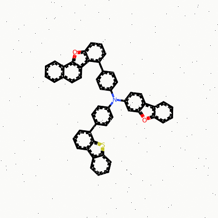 c1ccc2c(c1)ccc1c2oc2cccc(-c3ccc(N(c4ccc(-c5cccc6c5sc5ccccc56)cc4)c4ccc5c(c4)oc4ccccc45)cc3)c21